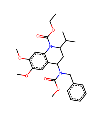 CCOC(=O)N1c2cc(OC)c(OC)cc2C(N(Cc2ccccc2)C(=O)OC)CC1C(C)C